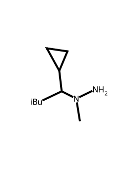 CCC(C)C(C1CC1)N(C)N